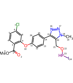 COC(=O)c1ccc(Cl)cc1Oc1ccc(-c2nnn(C)c2COPI)cc1